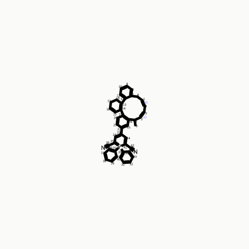 CC1/C=C\C=C/Cc2ccccc2C2=C(C=CCC2)c2ccc(C3=CC(C#N)=P(c4ccccc4)(c4ccccc4)C(C#N)=C3)cc21